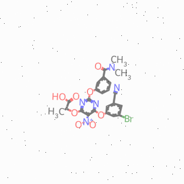 CC(Oc1nc(Oc2cccc(C(=O)N(C)C)c2)nc(Oc2cc(Br)cc(C#N)c2)c1[N+](=O)[O-])C(=O)O